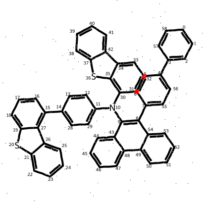 c1ccc(-c2ccc(-c3c(N(c4ccc(-c5cccc6sc7ccccc7c56)cc4)c4cccc5c4sc4ccccc45)c4ccccc4c4ccccc34)cc2)cc1